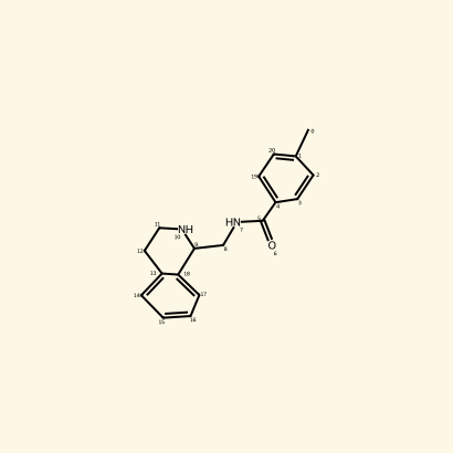 Cc1ccc(C(=O)NCC2NCCc3ccccc32)cc1